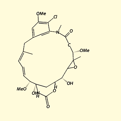 COc1cc2cc(c1Cl)N(C)C(=O)C[C@H](OC)C1(C)OC1[C@H](O)[C@@H]1C[C@@](O)(NC(=O)O1)[C@H](OC)/C=C/C=C(\C)C2